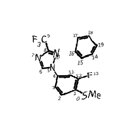 CSc1ccc(-n2cnc(C(F)(F)F)n2)cc1F.c1ccccc1